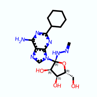 C=NN[C@@]1(n2cnc3c(N)nc(C4CCCCC4)nc32)O[C@H](CO)[C@@H](O)[C@H]1O